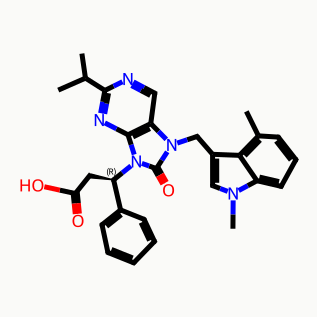 Cc1cccc2c1c(Cn1c(=O)n([C@H](CC(=O)O)c3ccccc3)c3nc(C(C)C)ncc31)cn2C